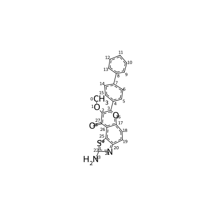 COc1c(-c2ccc(-c3ccccc3)cc2)oc2ccc3nc(N)sc3c2c1=O